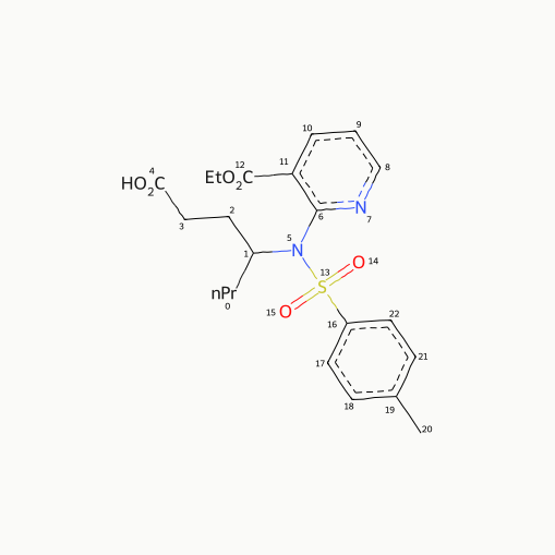 CCCC(CCC(=O)O)N(c1ncccc1C(=O)OCC)S(=O)(=O)c1ccc(C)cc1